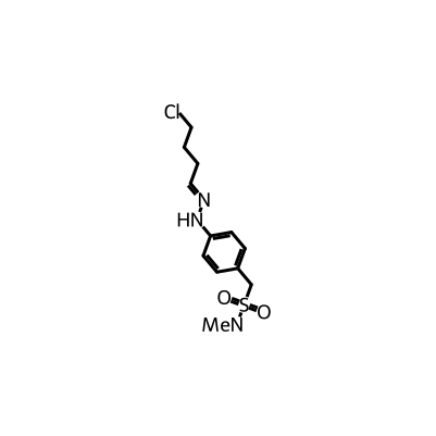 CNS(=O)(=O)Cc1ccc(NN=CCCCCl)cc1